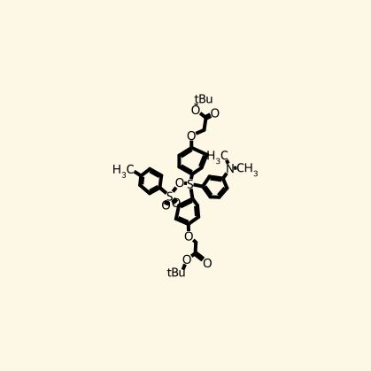 Cc1ccc(S(=O)(=O)OS(c2ccc(OCC(=O)OC(C)(C)C)cc2)(c2ccc(OCC(=O)OC(C)(C)C)cc2)c2cccc(N(C)C)c2)cc1